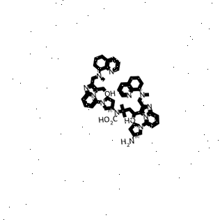 CN(Cc1nc2cccc(N3CC[C@@H](N(C(=O)O)C(C)(C)CC(O)c4c(CN(C)[C@H]5CCCc6cccnc65)nc5cccc(N6CC[C@@H](N)C6)n45)C3)n2c1CO)[C@H]1CCCc2cccnc21